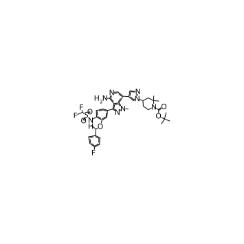 CC(Oc1cc(-c2nn(C)c3c(-c4cnn(C5CCN(C(=O)OC(C)(C)C)C(C)(C)C5)c4)cnc(N)c23)ccc1NS(=O)(=O)C(F)F)c1ccc(F)cc1